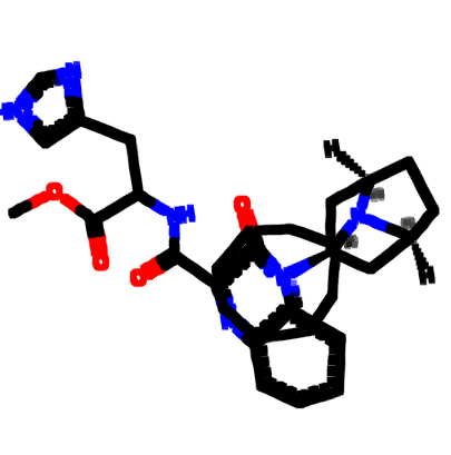 COC(=O)C(Cc1c[nH]cn1)NC(=O)c1nc2ccccc2n([C@H]2C[C@H]3CC[C@@H](C2)N3C2CCCCCCC2)c1=O